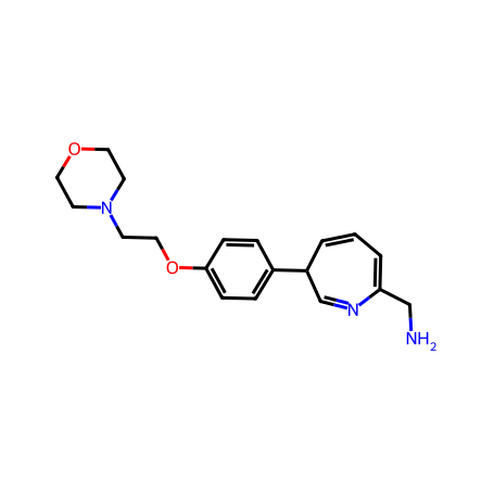 NCC1=CC=CC(c2ccc(OCCN3CCOCC3)cc2)C=N1